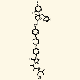 CC(C)C(CO)NC(C)C(C)n1ncn(-c2ccc(N3CCN(c4ccc(OCC5COC(Cn6cncn6)(c6ccc(F)cc6F)O5)cc4)CC3)cc2)c1=O